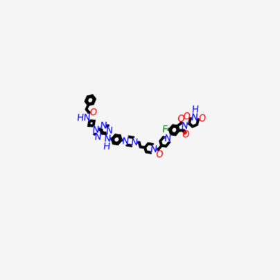 O=C1CC[C@H](N2C(=O)c3cc(F)c(N4CCC(C(=O)N5CCC(CCN6CCN(c7ccc(Nc8ncnc9c8ncn9C8CC(NC(=O)Cc9ccccc9)C8)cc7)CC6)CC5)CC4)cc3C2=O)C(=O)N1